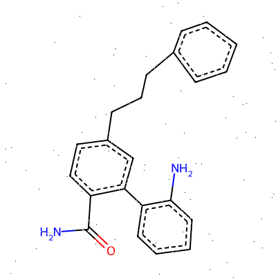 NC(=O)c1ccc(CCCc2ccccc2)cc1-c1ccccc1N